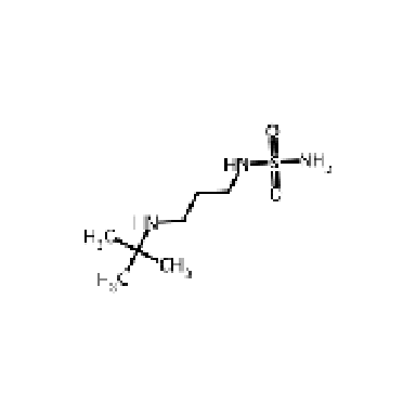 CC(C)(C)NCCCNS(N)(=O)=O